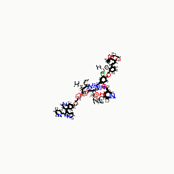 Cc1c(COc2cc(OCc3cncc(C#N)c3)c(CN[C@H](CO)C(=O)NC(C)CCOCCOc3ccc4c(-c5c(-c6ccccn6)nn6c5CCC6)ccnc4c3)cc2Cl)cccc1-c1ccc2c(c1)OCCO2